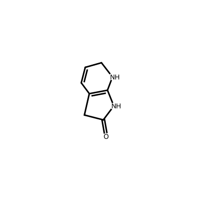 O=C1CC2=C(NCC=C2)N1